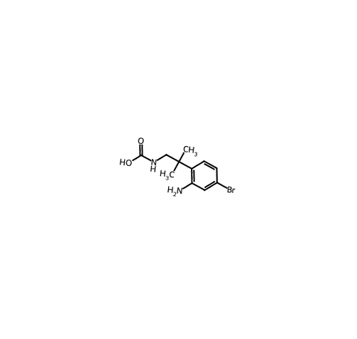 CC(C)(CNC(=O)O)c1ccc(Br)cc1N